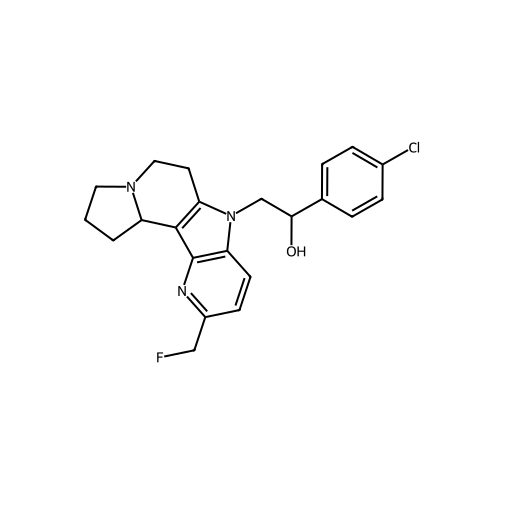 OC(Cn1c2c(c3nc(CF)ccc31)C1CCCN1CC2)c1ccc(Cl)cc1